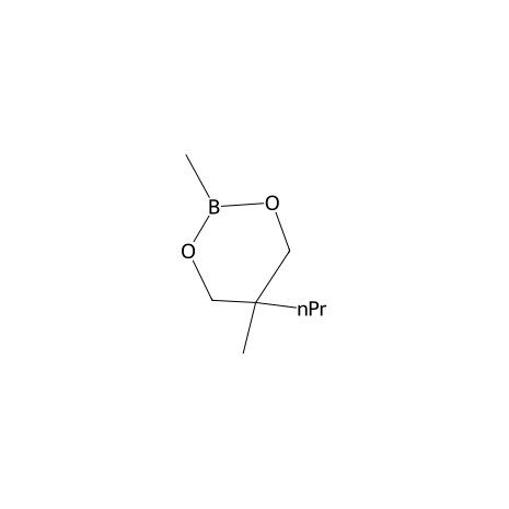 CCCC1(C)COB(C)OC1